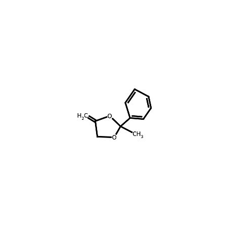 C=C1COC(C)(c2ccccc2)O1